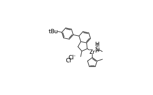 CC1=[C]([Zr+2]([CH]2C3=CC=CC(c4ccc(C(C)(C)C)cc4)C3CC2C)[SiH](C)C)CC=C1.[Cl-].[Cl-]